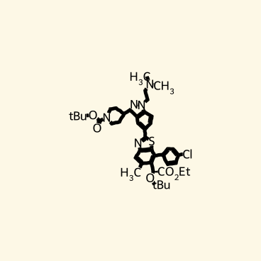 CCOC(=O)[C@@H](OC(C)(C)C)c1c(C)cc2nc(-c3ccc4c(c3)c(C3CCN(C(=O)OC(C)(C)C)CC3)nn4CCN(C)C)sc2c1-c1ccc(Cl)cc1